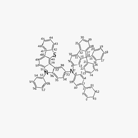 C1=CC(c2ccc(N(c3ccc4c(c3)C(c3ccccc3)(c3ccccc3)c3ccccc3-4)c3ccc4c(c3)c3c5sc6ccccc6c5ccc3n4-c3ccccc3)cc2)=CCC1